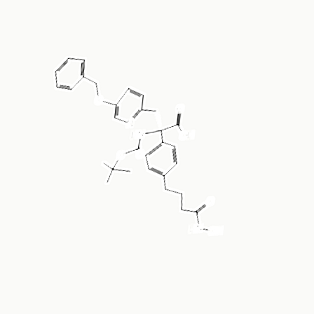 CC(C)(C)OC(=O)N[C@@](Cc1ccc(OCc2ccccc2)cn1)(C(=O)O)c1ccc(CCCC(=O)NO)cc1